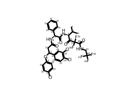 CC(C)[C@H](NC(=O)[C@@H](NC(=O)CC(Oc1ccc(Cl)cc1)c1ccc(Cl)c(Cl)c1)c1ccccc1)C(=O)C(F)(F)C(=O)NCC(F)(F)F